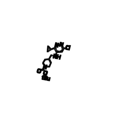 CC(C)(C)OC(=O)N1CCC(CNc2cc(Cl)nnc2C2CC2)CC1